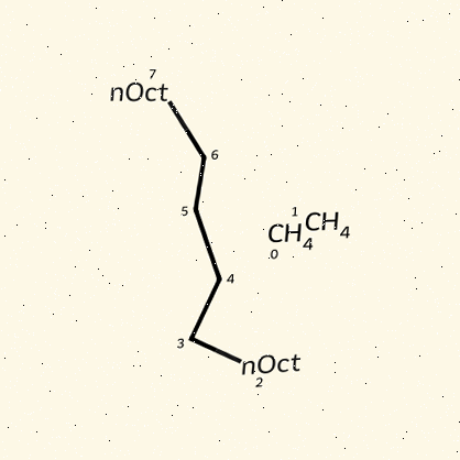 C.C.CCCCCCCCCCCCCCCCCCCC